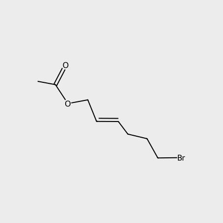 CC(=O)OCC=CCCCBr